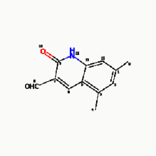 Cc1cc(C)c2cc(C=O)c(=O)[nH]c2c1